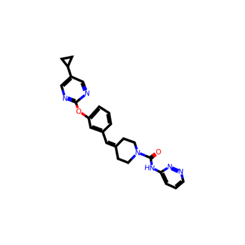 O=C(Nc1cccnn1)N1CCC(=Cc2cccc(Oc3ncc(C4CC4)cn3)c2)CC1